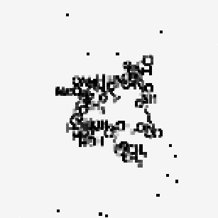 C=C1C[C@H](CC[C@@]2(O)CC(O)[C@@H]3CC4[C@@H](O2)C2O[C@@H](CC(=O)C[C@@H]5[C@@H](OC)[C@@H](C[C@@H](CNC(=O)C(OCNC(=O)CNC(=O)[C@H](Cc6ccccc6)NC(=O)CNC(=O)CNC(=O)CCCCCN6C(=O)C=CC6=O)C6CC6)OC)O[C@H]5C)CC[C@@H]2O[C@H]43)O[C@H]1CC[C@H]1CCC(=C)[C@@H](C)O1